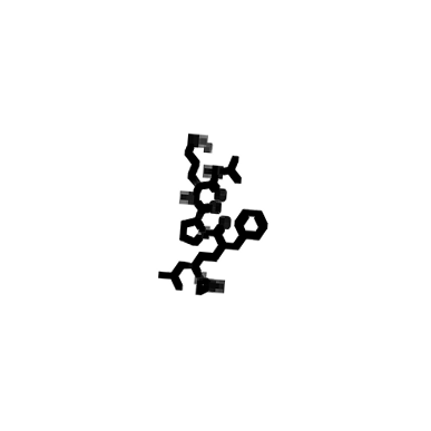 CC(C)C[C@@H](/C=C/C(Cc1ccccc1)C(=O)N1CCC[C@H]1C(=O)N[C@@H](CCCN)C(=O)NC(C)C)N1BC1